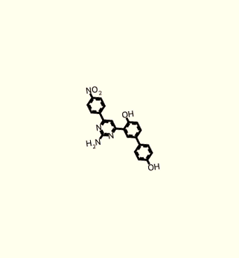 Nc1nc(-c2ccc([N+](=O)[O-])cc2)cc(-c2cc(-c3ccc(O)cc3)ccc2O)n1